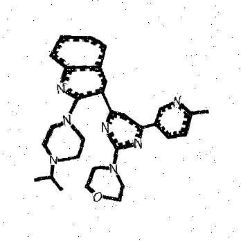 Cc1ccc(-c2cc(-c3cc4ccccc4nc3N3CCN(C(C)C)CC3)nc(N3CCOCC3)n2)cn1